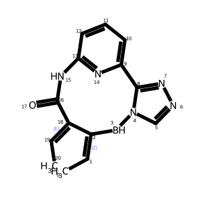 C/C=C1/Bn2cnnc2-c2cccc(n2)NC(=O)/C1=C/C